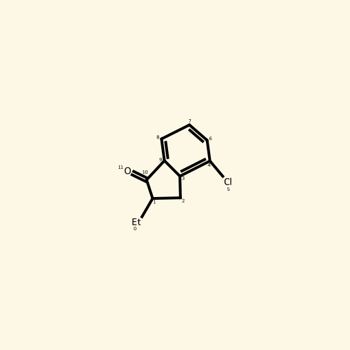 CCC1Cc2c(Cl)cccc2C1=O